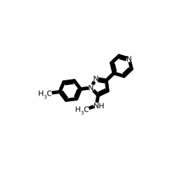 CNc1cc(-c2ccncc2)nn1-c1ccc(C)cc1